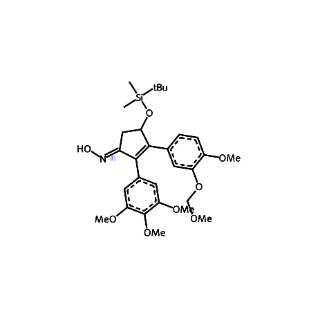 COCOc1cc(C2=C(c3cc(OC)c(OC)c(OC)c3)/C(=N/O)CC2O[Si](C)(C)C(C)(C)C)ccc1OC